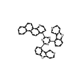 c1ccc2c(c1)ccc1c2ccc2c(-c3nc(-c4cccc5oc6ccncc6c45)nc(-c4cccc5oc6ccncc6c45)n3)ccnc21